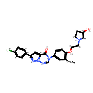 COc1cc(-n2cnn3nc(-c4ccc(Cl)cc4)cc3c2=O)ccc1OCCN1CCC(O)C1